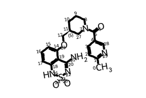 Cc1ccc(C(=O)N2CCC[C@H](COc3cccc4c3C(N)=NS(=O)(=O)N4)C2)cn1